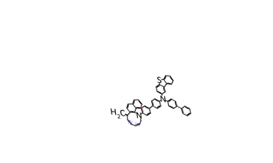 C=C1/C=C\C=C/CN(c2ccc(-c3ccc(N(c4ccc(-c5ccccc5)cc4)c4ccc5sc6ccccc6c5c4)cc3)cc2)c2c1ccc1ccccc21